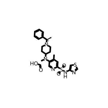 Cc1cc(S(=O)(=O)Nc2cscn2)ncc1N(C)C1CCN([C@H](C)c2ccccc2)CC1.O=CO